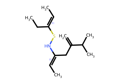 C=C(C/C(=C\C)NS/C(=C/C)CC)C(C)C